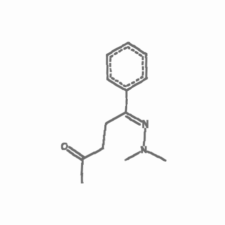 CC(=O)CCC(=NN(C)C)c1ccccc1